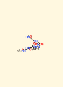 CCCCNC(=O)CCCCCNC(=O)CCc1ccc(O)c(CN(CC=O)CCN(CC(=O)O)Cc2nc(CCC(=O)NCCCCCC(=O)NCCCC)ccc2O)n1